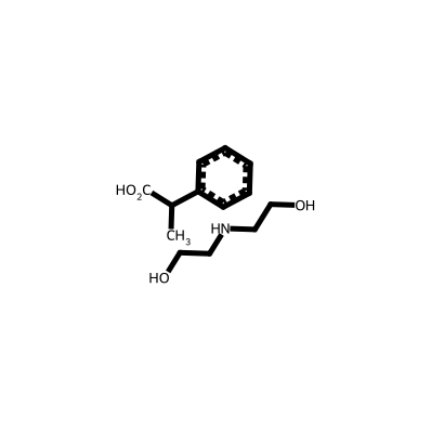 CC(C(=O)O)c1ccccc1.OCCNCCO